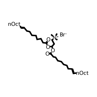 CCCCCCCCC=CCCCCCCCC(=O)OC(CC[N+](C)(C)C)OC(=O)CCCCCCCC=CCCCCCCCC.[Br-]